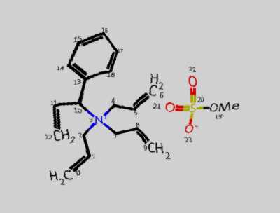 C=CC[N+](CC=C)(CC=C)C(C=C)c1ccccc1.COS(=O)(=O)[O-]